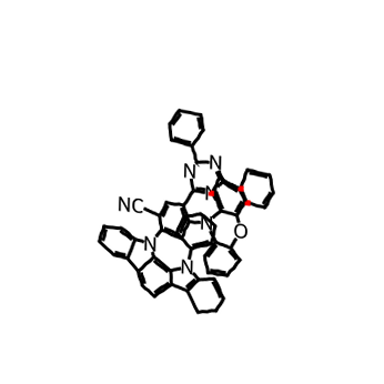 N#Cc1cc(-c2nc(-c3ccccc3)nc(C3C=CC=CC3)n2)c(N2c3ccccc3Oc3ccccc32)cc1-n1c2ccccc2c2ccc3c4c(n(C5=CCCC=C5)c3c21)C=CCC4